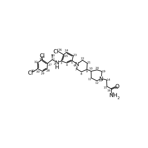 C[C@@H](Nc1cc(N2CCC(C3CCN(CCC(N)=O)CC3)CC2)ccc1Cl)c1ccc(Cl)cc1Cl